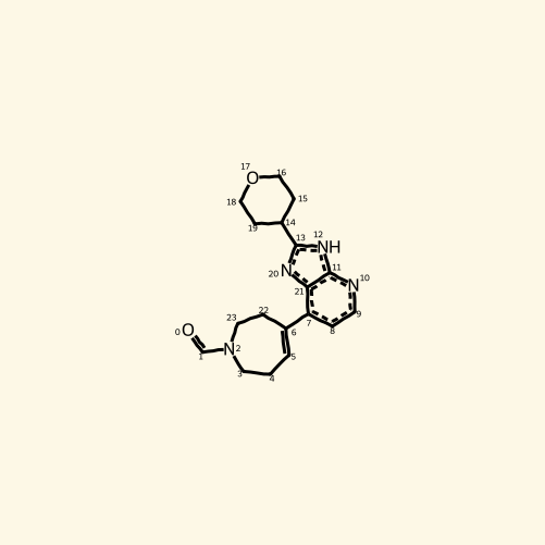 O=CN1CCC=C(c2ccnc3[nH]c(C4CCOCC4)nc23)CC1